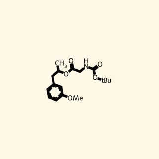 COc1cccc(CC(C)OC(=O)CNC(=O)OC(C)(C)C)c1